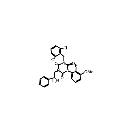 COc1cccc(-n2c(=O)n(Cc3c(Cl)cccc3Cl)c(=O)n(C[C@H](N)c3ccccc3)c2=O)c1F